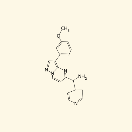 COc1cccc(-c2cnn3ccc(C(N)c4ccncc4)nc23)c1